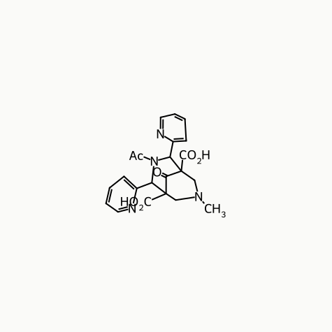 CC(=O)N1C(c2ccccn2)C2(C(=O)O)CN(C)CC(C(=O)O)(C2=O)C1c1ccccn1